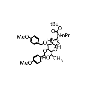 CCCN(C(=O)OC(C)(C)C)C1=N[C@@H]2[C@@H](OCc3ccc(OC)cc3)[C@H](OCc3ccc(OC)cc3)[C@@H](C(C)O)O[C@@H]2S1